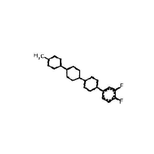 CC1CCC(C2CCC(C3CCC(c4ccc(F)c(F)c4)CC3)CC2)CC1